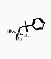 CCC[CH2][Sn]([CH2]CCC)([CH2]CCC)[CH2]C(C)(C)c1ccccc1